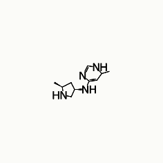 CC1C=C(N[C@H]2CN[C@@H](C)C2)N=CN1